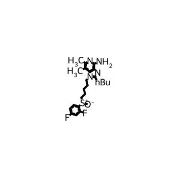 CCCCc1nc2c(N)nc(C)c(C)c2n1CCCCC[S+]([O-])c1ccc(F)cc1F